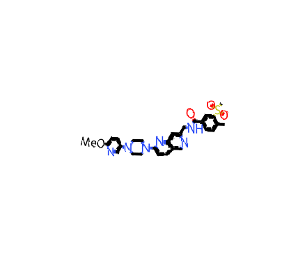 COc1ccc(N2CCN(c3ccc4cnc(CNC(=O)c5ccc(C)c(S(C)(=O)=O)c5)cc4n3)CC2)cn1